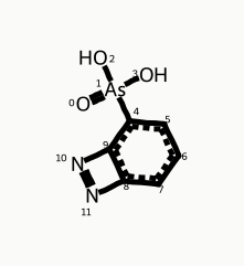 O=[As](O)(O)c1cccc2c1N=N2